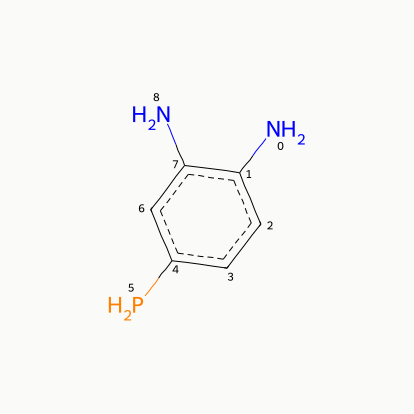 Nc1ccc(P)cc1N